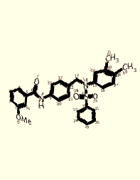 COc1cccc(C(=O)Nc2ccc(CN(c3ccc(C)c(C)c3)S(=O)(=O)c3ccccc3)cc2)c1